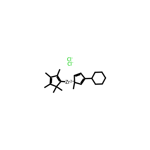 CC1=C(C)C(C)(C)[C]([Zr+2][C]2(C)C=CC(C3CCCCC3)=C2)=C1C.[Cl-].[Cl-]